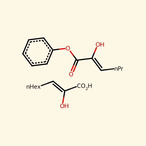 CCCC=C(O)C(=O)Oc1ccccc1.CCCCCCC=C(O)C(=O)O